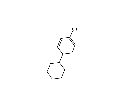 OC1=CCC(C2CCCCC2)C=C1